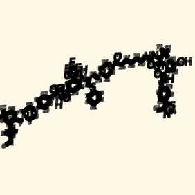 CCC12CC(C3=C(CN4CCN(c5ccc(C(=O)NS(=O)(=O)c6ccc(N[C@H](CCN7CCN(C(=O)CCCCCCC(=O)N[C@H](C(=O)N8C[C@H](O)C[C@H]8C(=O)NCc8ccc(-c9scnc9C)cc8)C(C)(C)C)CC7)CSc7ccccc7)c(S(=O)(=O)C(F)(F)F)c6)cc5)CC4)CCC(C)(C)C3)(C1)C2